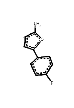 Cc1[c]cc(-c2ccc(F)cc2)o1